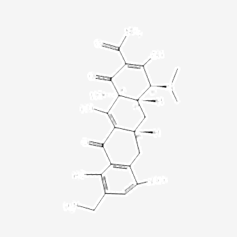 CCCCCCc1cc(CN)c(O)c2c1C[C@H]1C[C@H]3[C@H](N(C)C)C(O)=C(C(N)=O)C(=O)[C@]3(O)C(O)=C1C2=O